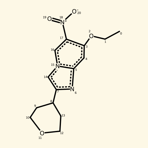 CCOc1cc2nc(C3CCOCC3)cn2cc1[N+](=O)[O-]